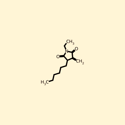 C=C1C(=O)N(CC)C(=O)C1CCCCCC